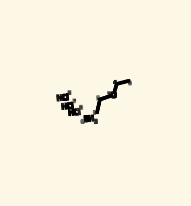 B.CCOCC.Cl.Cl.Cl